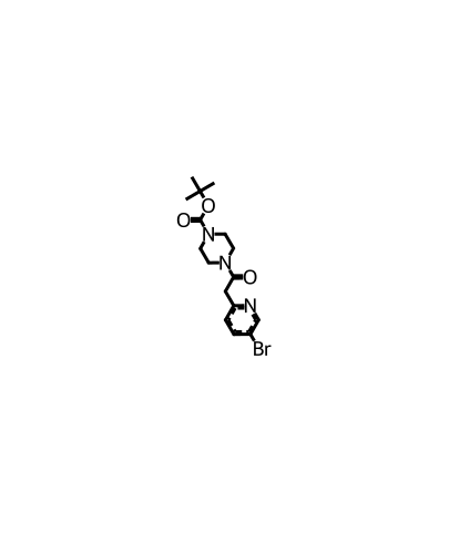 CC(C)(C)OC(=O)N1CCN(C(=O)Cc2ccc(Br)cn2)CC1